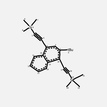 CC(C)(C)c1cc(C#C[Si](C)(C)C)c2ccccc2c1C#C[Si](C)(C)C